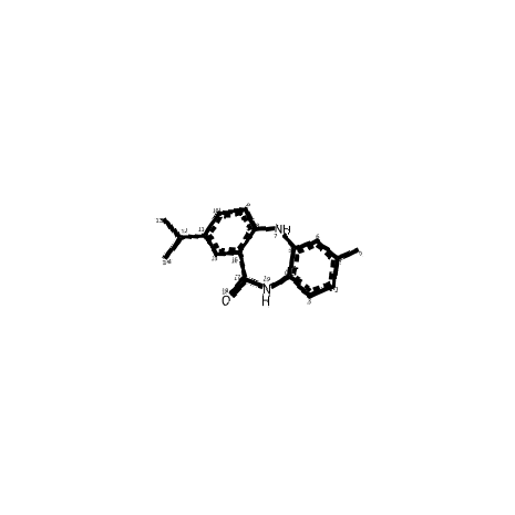 Cc1ccc2c(c1)Nc1ccc(C(C)C)cc1C(=O)N2